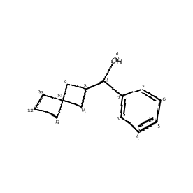 OC(c1ccccc1)C1CC2(CCC2)C1